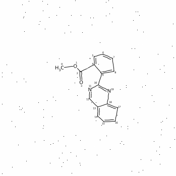 COC(=O)c1ccccc1-c1ncc2ccccc2n1